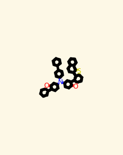 c1ccc(-c2ccc(N(c3ccc4c(c3)oc3ccccc34)c3ccc4oc5ccc6sc7c8ccccc8ccc7c6c5c4c3)cc2)cc1